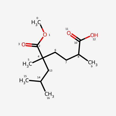 COC(=O)C(C)(CCC(C)C(=O)O)CC(C)C